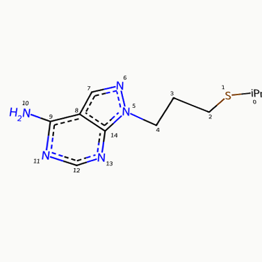 CC(C)SCCCn1ncc2c(N)ncnc21